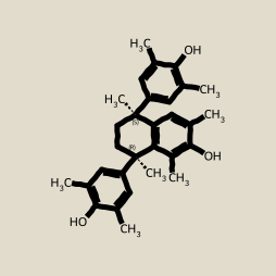 Cc1cc([C@]2(C)CC[C@](C)(c3cc(C)c(O)c(C)c3)c3c2cc(C)c(O)c3C)cc(C)c1O